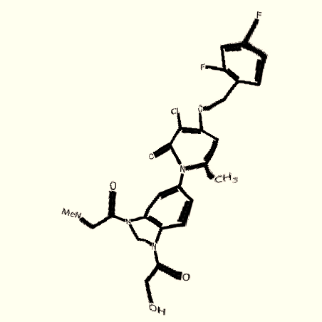 CNCC(=O)N1CN(C(=O)CO)c2ccc(-n3c(C)cc(OCc4ccc(F)cc4F)c(Cl)c3=O)cc21